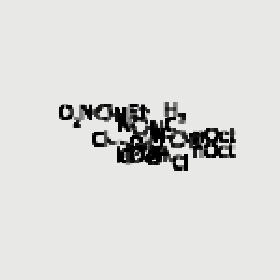 [CH2][CH]c1cc(N=Nc2ccc(N(CCCCCCCC)CCCCCCCC)cc2C)c(C(OC(=O)CCCl)C(O)(O)OC(=O)CCCl)cc1N=Nc1ccc([N+](=O)[O-])cc1